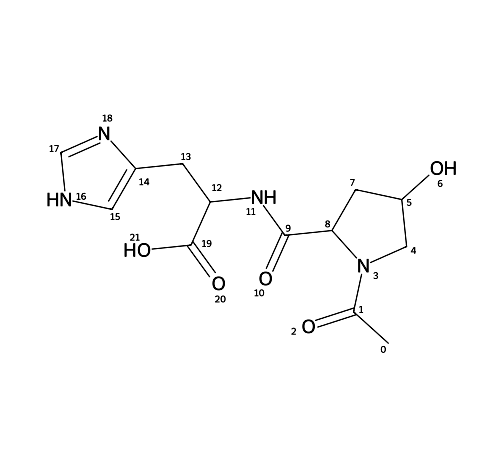 CC(=O)N1CC(O)CC1C(=O)NC(Cc1c[nH]cn1)C(=O)O